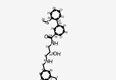 CCc1cccc(CNC[C@@H](O)CNC(=O)c2cccc(-c3ccccc3SC)c2)c1